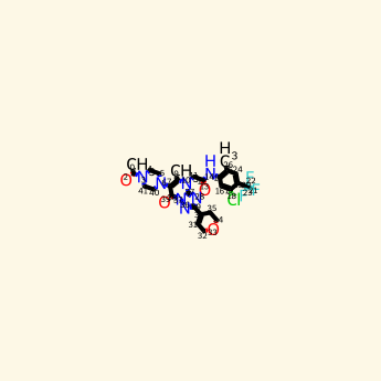 CC(=O)N1CCN(c2c(C)n(CC(=O)Nc3cc(Cl)c(C(F)(F)F)cc3C)c3nc(C4=CCOCC4)nn3c2=O)CC1